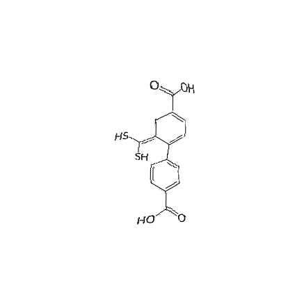 O=C(O)C1=CC=C(c2ccc(C(=O)O)cc2)C(=C(S)S)C1